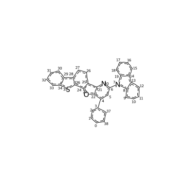 c1ccc(-c2cc(-n3c4ccccc4c4ccccc43)nc3c2oc2c3ccc3c4ccccc4sc32)cc1